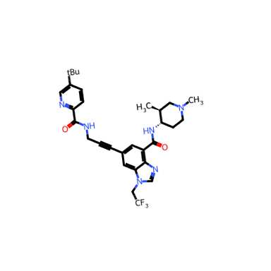 C[C@H]1CN(C)CC[C@@H]1NC(=O)c1cc(C#CCNC(=O)c2ccc(C(C)(C)C)cn2)cc2c1ncn2CC(F)(F)F